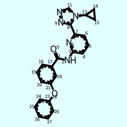 O=C(Nc1cccc(-c2nncn2C2CC2)n1)c1cccc(Oc2ccccc2)c1